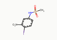 CS(=O)(=O)Nc1ccc(I)c([N+](=O)[O-])c1